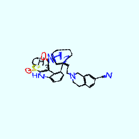 C[S+]([O-])c1[nH]c2cccc(C3(CCN4CCc5ccc(C#N)cc5C4)CCCCC3)c2c1C(N)=O